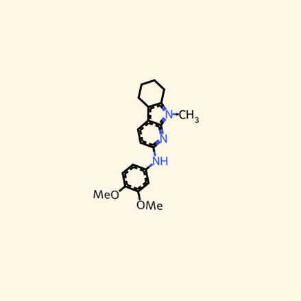 COc1ccc(Nc2ccc3c4c(n(C)c3n2)CCCC4)cc1OC